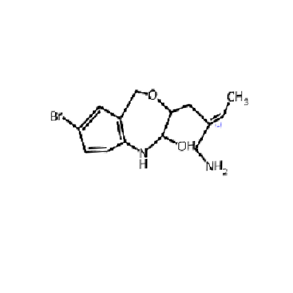 C/C=C(/CN)CC1OCc2cc(Br)ccc2NC1O